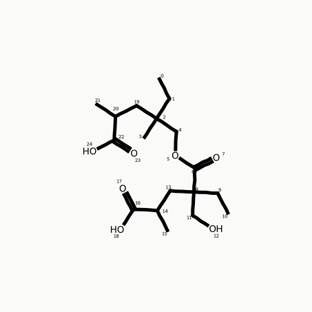 CCC(C)(COC(=O)C(CC)(CO)CC(C)C(=O)O)CC(C)C(=O)O